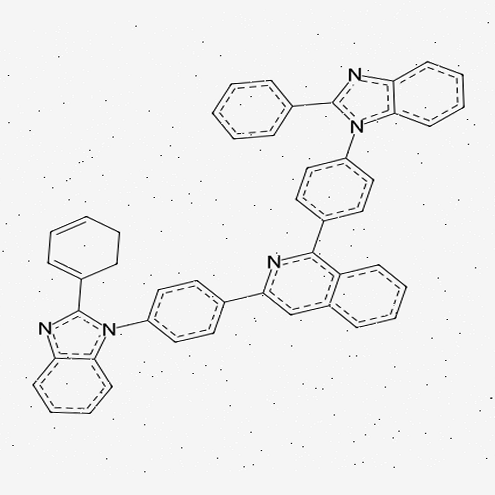 C1=CCCC(c2nc3ccccc3n2-c2ccc(-c3cc4ccccc4c(-c4ccc(-n5c(-c6ccccc6)nc6ccccc65)cc4)n3)cc2)=C1